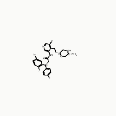 C[C@H]1CO[C@H](CCc2c(F)cncc2NC(=O)C[C@@H](c2ccc(F)cc2)c2cc(F)ccc2F)CN1